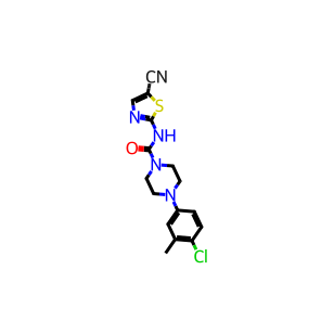 Cc1cc(N2CCN(C(=O)Nc3ncc(C#N)s3)CC2)ccc1Cl